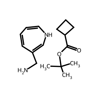 CC(C)(C)OC(=O)C1CCC1.NCC1=CNC=CC=C1